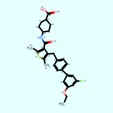 CCOc1cc(F)cc(-c2ccc(Cc3c(C)sc(C)c3C(=O)NC3CCC(C(=O)O)CC3)cc2)c1